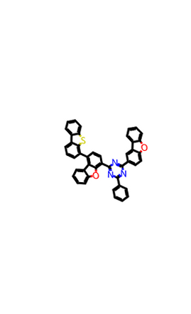 c1ccc(-c2nc(-c3ccc4oc5ccccc5c4c3)nc(-c3ccc(-c4cccc5c4sc4ccccc45)c4c3oc3ccccc34)n2)cc1